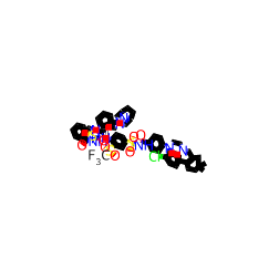 CC1(C)CCC(c2ccc(Cl)cc2)=C(CN2CCN(c3ccc(C(=O)NS(=O)(=O)c4ccc(N[C@H](CCN5CC6CCC(C5)N6Cc5cccc(N6CCC(=O)NC6=O)c5)CSc5ccccc5)c(S(=O)(=O)C(F)(F)F)c4)cc3)CC2)C1